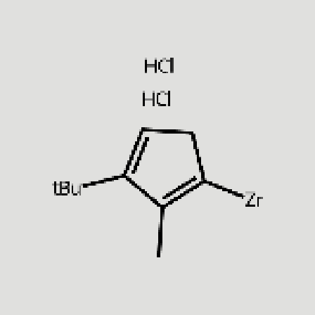 CC1=[C]([Zr])CC=C1C(C)(C)C.Cl.Cl